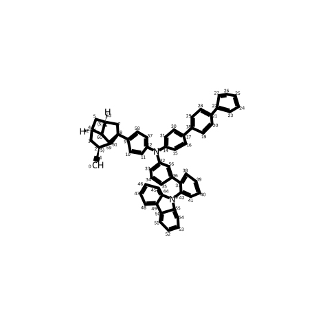 C#C[C@H]1C[C@H]2C[C@H]3CC(c4ccc(N(c5ccc(-c6ccc(-c7ccccc7)cc6)cc5)c5cccc(-c6ccccc6-n6c7ccccc7c7ccccc76)c5)cc4)(CC23)C1